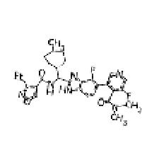 CCc1nocc1C(=O)N[C@H](c1nc2c(F)c(-c3cncc(F)c3C(=O)N(C)C)ccc2[nH]1)[C@H]1CC[C@H](C)CC1